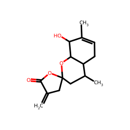 C=C1CC2(CC(C)C3CC=C(C)C(O)C3O2)OC1=O